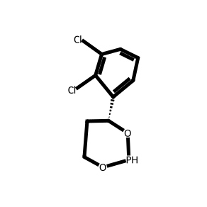 Clc1cccc([C@H]2CCOPO2)c1Cl